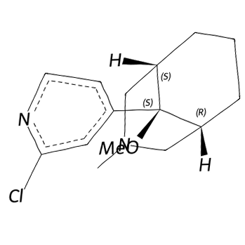 CO[C@]1(c2ccnc(Cl)c2)[C@@H]2CCC[C@H]1CN(C)C2